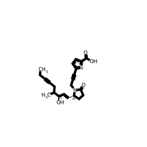 CCC#CCC(C)[C@H](O)C=C[C@H]1CCC(=O)N1CC#Cc1ccc(C(=O)O)s1